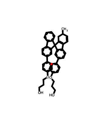 CC1C=CC2=C(C1)C1(c3cc(-c4ccc(OCCCO)cc4)ccc32)c2ccccc2-c2ccc(-c3ccc(OCCCO)cc3)cc21